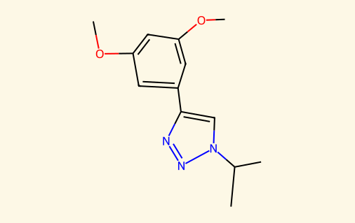 COc1cc(OC)cc(-c2cn(C(C)C)nn2)c1